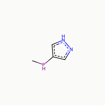 CPc1cn[nH]c1